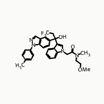 COCCN(C)C(=O)Cn1cc(C(O)(CC(F)(F)F)c2ccc3c(cnn3-c3ccc(C)cc3)c2)c2ccccc21